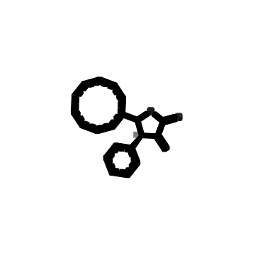 C=C1C(=O)OC(c2ccccccccc2)[C@@H]1c1ccccc1